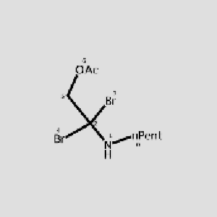 CCCCCNC(Br)(Br)COC(C)=O